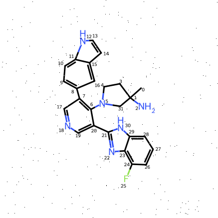 CC1(N)CCN(c2c(-c3ccc4[nH]ccc4c3)cncc2-c2nc3c(F)cccc3[nH]2)C1